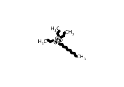 CCCCCCCCC=C[Si](OCCCC)(OCCCC)OCCCC